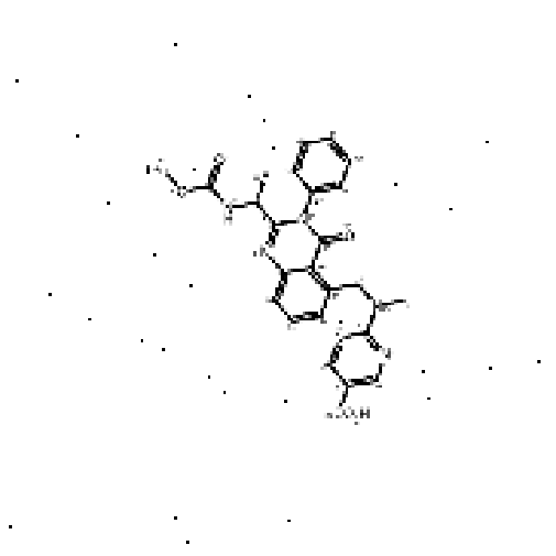 CC[C@H](NC(=O)OC(C)(C)C)c1nc2cccc(CN(C)c3ncc(C(=O)O)cn3)c2c(=O)n1-c1ccccc1